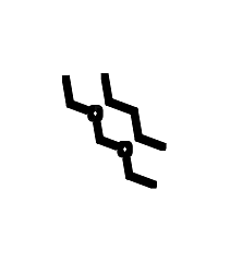 CCCCC.CCOCOCC